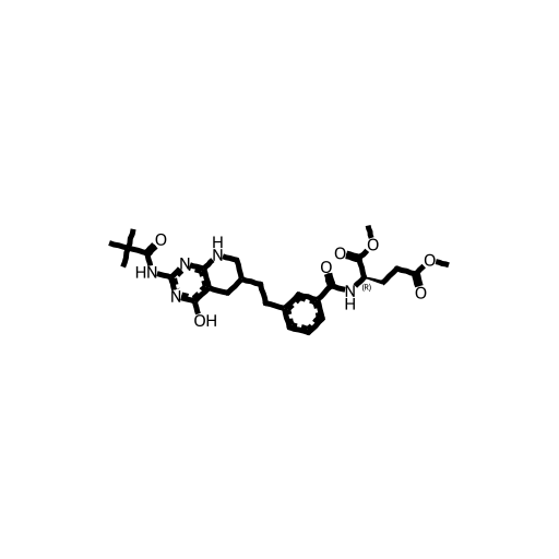 COC(=O)CC[C@@H](NC(=O)c1cccc(CCC2CNc3nc(NC(=O)C(C)(C)C)nc(O)c3C2)c1)C(=O)OC